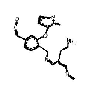 C=N/C=C(\C=N/Cc1ccc(C=C=O)cc1Oc1ccnn1C)CCN